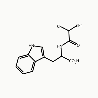 CCCC(Cl)C(=O)NC(Cc1c[nH]c2ccccc12)C(=O)O